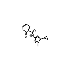 O=C(Nc1cc(C2CC2)[nH]n1)C1=CC=CCC1=S